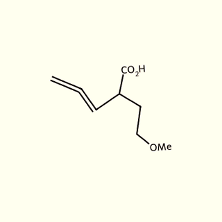 C=C=CC(CCOC)C(=O)O